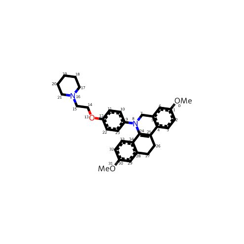 COc1ccc2c(c1)CN(c1ccc(OCCN3CCCCC3)cc1)C1=C2CCc2cc(OC)ccc21